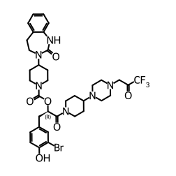 O=C(O[C@H](Cc1ccc(O)c(Br)c1)C(=O)N1CCC(N2CCN(CC(=O)C(F)(F)F)CC2)CC1)N1CCC(N2CCc3ccccc3NC2=O)CC1